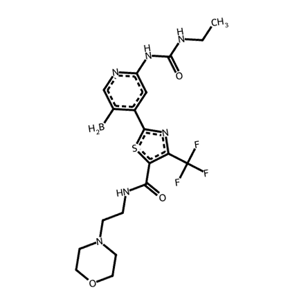 Bc1cnc(NC(=O)NCC)cc1-c1nc(C(F)(F)F)c(C(=O)NCCN2CCOCC2)s1